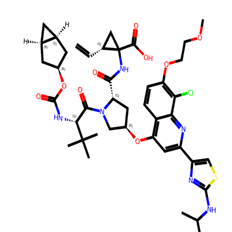 C=C[C@@H]1CC1(NC(=O)[C@@H]1C[C@@H](Oc2cc(-c3csc(NC(C)C)n3)nc3c(Cl)c(OCCOC)ccc23)CN1C(=O)[C@@H](NC(=O)O[C@@H]1C[C@@H]2C[C@@H]2C1)C(C)(C)C)C(=O)O